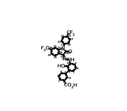 O=C(O)c1cccc(-c2cccc(N/N=C3\C(=O)N(c4ccc(C(F)(F)F)cc4)c4cc(C(F)(F)F)ccc43)c2O)c1